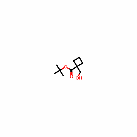 CC(C)(C)OC(=O)C1(CO)CCC1